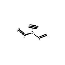 C#C.C=COC=C